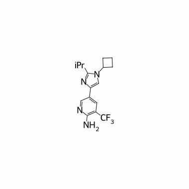 CC(C)c1nc(-c2cnc(N)c(C(F)(F)F)c2)cn1C1CCC1